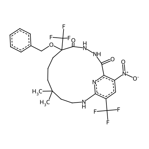 CC1(C)CCCC(OCc2ccccc2)(C(F)(F)F)C(=O)NNC(=O)c2nc(c(C(F)(F)F)cc2[N+](=O)[O-])NCC1